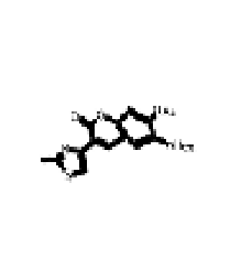 CCCCCCc1cc2cc(-c3csc(C)n3)c(=O)oc2cc1OC(C)=O